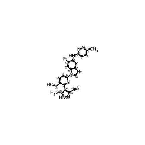 Cc1ccc(Nc2cc3ncn(-c4ccc(CO)c(-c5c(C#N)n[nH]c5C)n4)c3cc2F)nn1